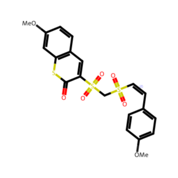 COc1ccc(/C=C\S(=O)(=O)CS(=O)(=O)c2cc3ccc(OC)cc3sc2=O)cc1